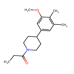 CCC(=O)N1CCC(c2cc(C)c(C)c(OC)c2)CC1